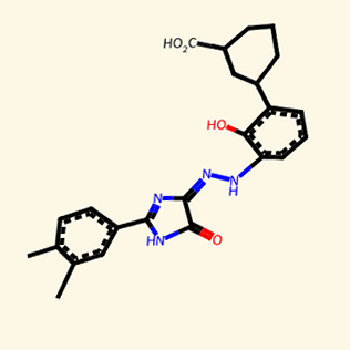 Cc1ccc(C2=NC(=NNc3cccc(C4CCCC(C(=O)O)C4)c3O)C(=O)N2)cc1C